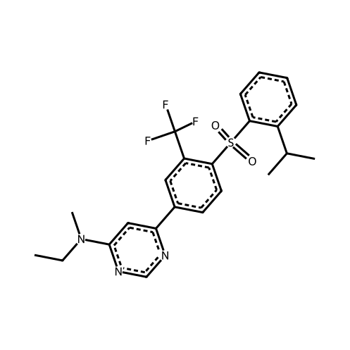 CCN(C)c1cc(-c2ccc(S(=O)(=O)c3ccccc3C(C)C)c(C(F)(F)F)c2)ncn1